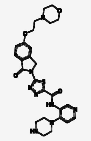 O=C(Nc1cnccc1N1CCNCC1)c1nnc(N2Cc3cc(OCCN4CCOCC4)ccc3C2=O)s1